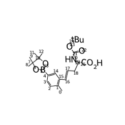 Cc1ccc(B2OC(C)(C)C(C)(C)O2)cc1C=CC[C@H](NC(=O)OC(C)(C)C)C(=O)O